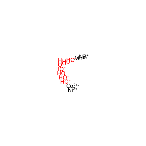 [Co+2].[Mn+2].[Ni+2].[Ni+2].[OH-].[OH-].[OH-].[OH-].[OH-].[OH-].[OH-].[OH-]